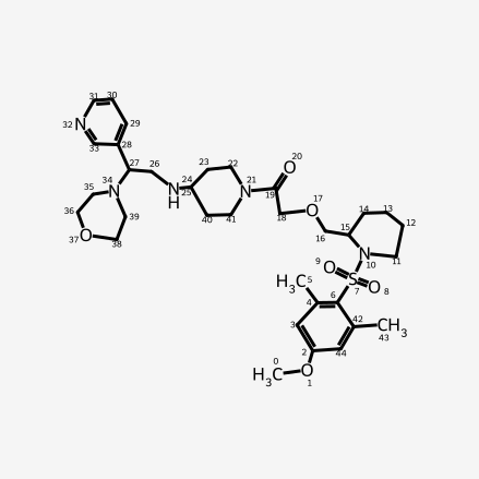 COc1cc(C)c(S(=O)(=O)N2CCCCC2COCC(=O)N2CCC(NCC(c3cccnc3)N3CCOCC3)CC2)c(C)c1